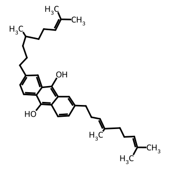 CC(C)=CCC/C(C)=C/CCc1ccc2c(O)c3ccc(CCCC(C)CCC=C(C)C)cc3c(O)c2c1